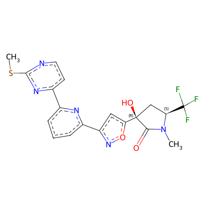 CSc1nccc(-c2cccc(-c3cc([C@]4(O)C[C@@H](C(F)(F)F)N(C)C4=O)on3)n2)n1